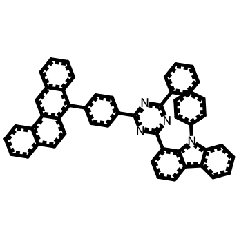 c1ccc(-c2nc(-c3ccc(-c4c5ccccc5cc5c4ccc4ccccc45)cc3)nc(-c3cccc4c5ccccc5n(-c5ccccc5)c34)n2)cc1